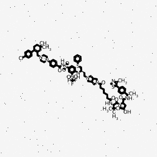 Cc1ncsc1-c1ccc([C@H](C)NC(=O)C2CC(O)CN2C(=O)[C@@H](NC(=O)CCCCCC(=O)N2CC3CN(CC[C@H](CSc4ccccc4)Nc4ccc(S(=O)(=O)NC(=O)c5ccc(N6CCN(CC7=C(c8ccc(Cl)cc8)CCC(C)(C)C7)CC6)cc5)cc4S(=O)(=O)C(F)(F)F)CC3C2)C(C)(C)C)cc1